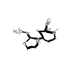 O=C(O)N=c1sccn1-c1ccnc(Br)c1